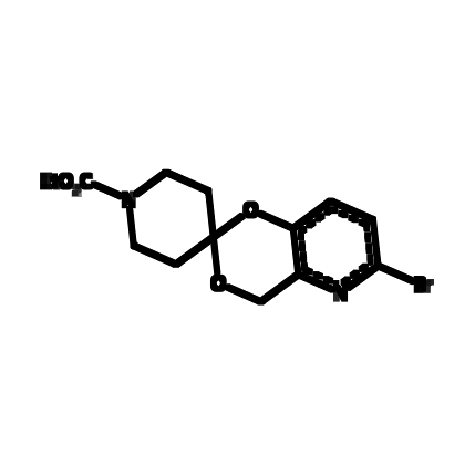 CCOC(=O)N1CCC2(CC1)OCc1nc(Br)ccc1O2